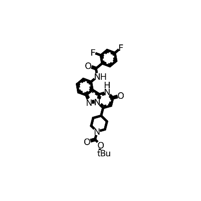 CC(C)(C)OC(=O)N1CCC(c2cc(=O)[nH]c3c4c(NC(=O)c5ccc(F)cc5F)cccc4nn23)CC1